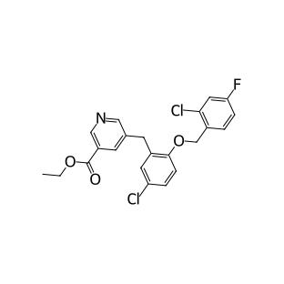 CCOC(=O)c1cncc(Cc2cc(Cl)ccc2OCc2ccc(F)cc2Cl)c1